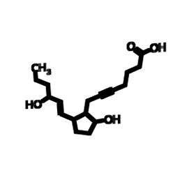 CCCC(O)C=CC1CCC(O)C1CC#CCCCC(=O)O